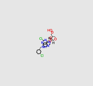 OOC[C@]12CO[C@@H]([C@H](n3cnc4c(NCc5cccc(Cl)c5)nc(Cl)nc43)O1)[C@@H]2OCc1ccccc1